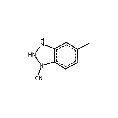 Cc1ccc2c(c1)NNN2C#N